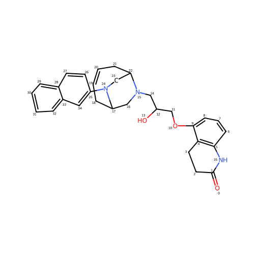 O=C1CCc2c(cccc2OCC(O)CN2CC3CC=CCC2CN3c2ccc3ccccc3c2)N1